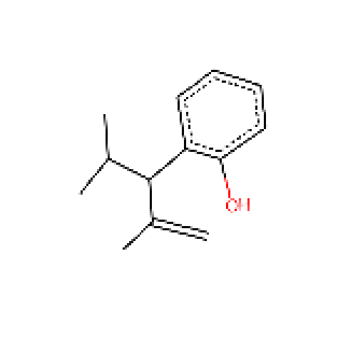 C=C(C)C(c1ccccc1O)C(C)C